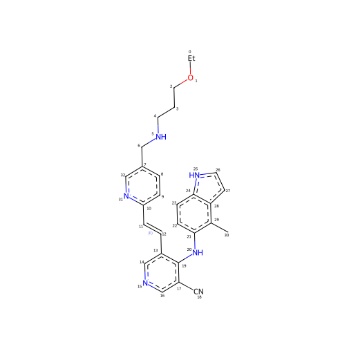 CCOCCCNCc1ccc(/C=C/c2cncc(C#N)c2Nc2ccc3[nH]ccc3c2C)nc1